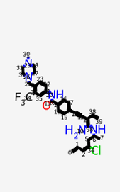 C=C/C=C(/Cl)CC(C)N/C(N)=C(/C#Cc1ccc(C(=O)Nc2ccc(CN3CCN(C)CC3)c(C(F)(F)F)c2)cc1)C=C